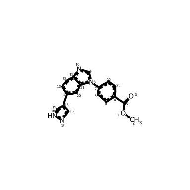 COC(=O)c1ccc(-n2cnc3ccc(-c4cn[nH]c4)cc32)cc1